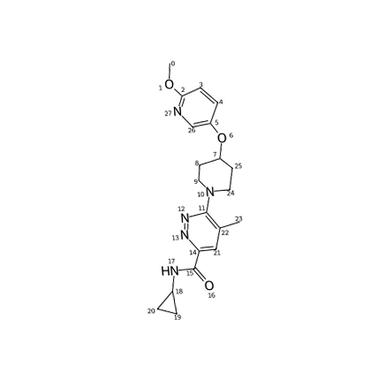 COc1ccc(OC2CCN(c3nnc(C(=O)NC4CC4)cc3C)CC2)cn1